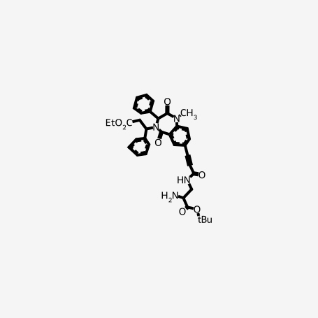 CCOC(=O)CC(c1ccccc1)N1C(=O)c2cc(C#CC(=O)NCC(N)C(=O)OC(C)(C)C)ccc2N(C)C(=O)C1c1ccccc1